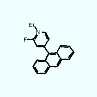 CC[n+]1ccc(-c2c3ccccc3cc3ccccc23)cc1F